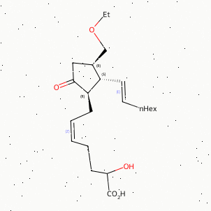 CCCCCC/C=C/[C@H]1[C@H](COCC)CC(=O)[C@@H]1C/C=C\CCC(O)C(=O)O